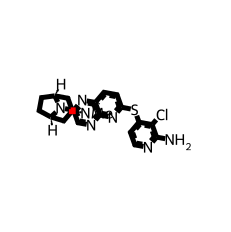 CN[C@@H]1C[C@H]2CC[C@@H](C1)N2c1cnc2nc(Sc3ccnc(N)c3Cl)ccc2n1